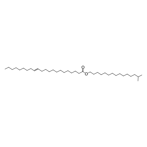 CCCCCCCCC=CCCCCCCCCCCCC(=O)OCCCCCCCCCCCCCC(C)C